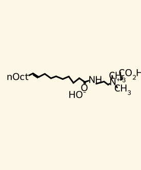 CCCCCCCCC=CCCCCCCCC(=O)NCCC[N+](C)(C)CC(=O)O.[OH-]